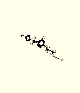 CC(C)(C)c1ccc(OC(=O)c2ccc(NC(=O)C(=O)NN)cc2O)cc1